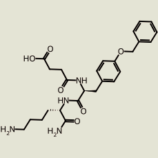 NCCCC[C@H](NC(=O)[C@H](Cc1ccc(OCc2ccccc2)cc1)NC(=O)CCC(=O)O)C(N)=O